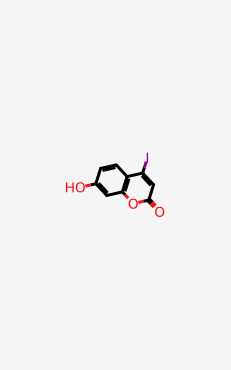 O=c1cc(I)c2ccc(O)cc2o1